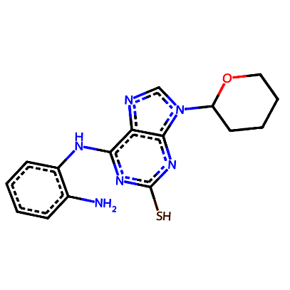 Nc1ccccc1Nc1nc(S)nc2c1ncn2C1CCCCO1